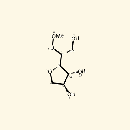 COO[C@H](CO)[C@H]1OC[C@H](O)[C@H]1O